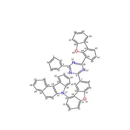 c1ccc(-c2nc(-c3ccc4oc5cccc(-n6c7ccccc7c7c8ccccc8ccc76)c5c4c3)nc(-c3cccc4c3oc3ccccc34)n2)cc1